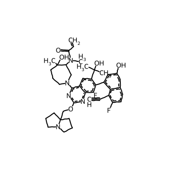 C#Cc1c(F)ccc2cc(O)cc(-c3c(C(C)(C)O)cc4c(N5CCCC(C)(O)C(N(C)C(=O)C=C)C5)nc(OCC56CCCN5CCC6)nc4c3F)c12